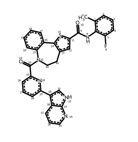 Cc1cccc(F)c1NC(=O)c1cc2c(s1)-c1ccccc1N(C(=O)c1cccc(-c3c[nH]c4ncccc34)n1)CC2